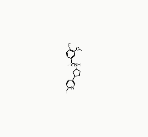 COc1cc([C@@H](C)NC2CCC(c3ccc(I)nc3)C2)ccc1F